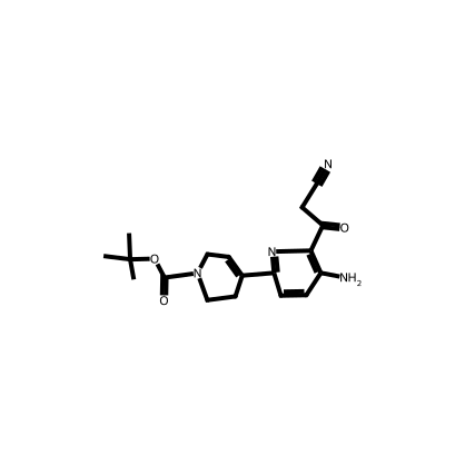 CC(C)(C)OC(=O)N1CC=C(c2ccc(N)c(C(=O)CC#N)n2)CC1